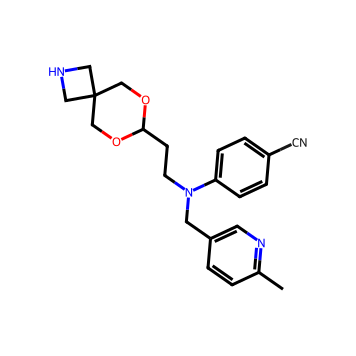 Cc1ccc(CN(CCC2OCC3(CNC3)CO2)c2ccc(C#N)cc2)cn1